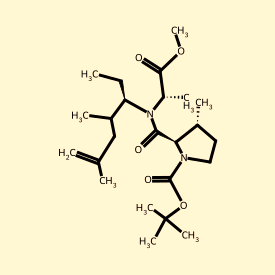 C=C(C)CC(C)[C@@H](CC)N(C(=O)[C@H]1[C@H](C)CCN1C(=O)OC(C)(C)C)[C@@H](C)C(=O)OC